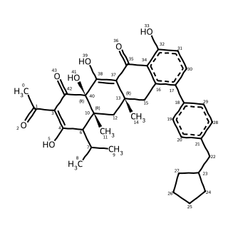 CC(=O)C1=C(O)C(C(C)C)[C@@]2(C)C[C@@]3(C)Cc4c(-c5ccc(CC6CCCC6)cc5)ccc(O)c4C(=O)C3=C(O)[C@@]2(O)C1=O